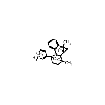 C/C=C\C(=C/C)C12CCC(C)(CC1)C1N2c2ccccc2C2(C)CC12C